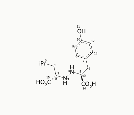 CC(C)C[C@H](NN[C@@H](Cc1ccc(O)cc1)C(=O)O)C(=O)O